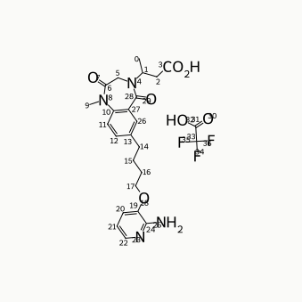 CC(CC(=O)O)N1CC(=O)N(C)c2ccc(CCCCOc3cccnc3N)cc2C1=O.O=C(O)C(F)(F)F